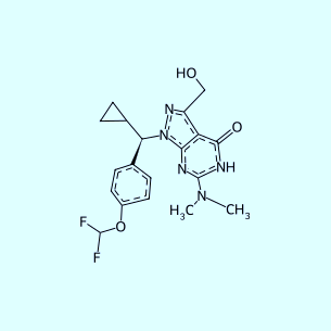 CN(C)c1nc2c(c(CO)nn2[C@@H](c2ccc(OC(F)F)cc2)C2CC2)c(=O)[nH]1